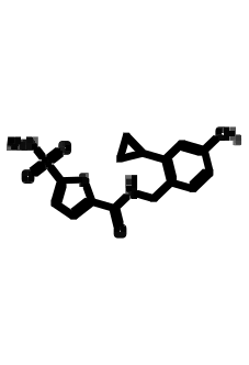 CNS(=O)(=O)c1ccc(C(=O)NCc2ccc(C)cc2C2CC2)s1